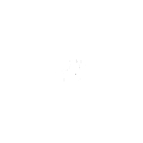 [CH2]CC(C)(O)C(C)O